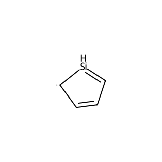 [CH]1C=CC=[SiH]1